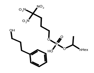 CCCCCCC(C)OP(=O)(O)OCCCC([N+](=O)[O-])([N+](=O)[O-])[N+](=O)[O-].OCCCc1ccccc1